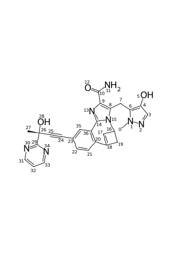 Cn1ncc(O)c1Cc1c(C(N)=O)nc2n1C1C=C(C1)c1ccc(C#C[C@@](C)(O)c3ncccn3)cc1-2